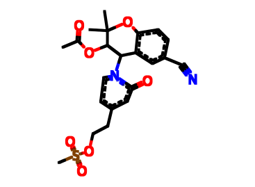 CC(=O)OC1C(n2ccc(CCOS(C)(=O)=O)cc2=O)c2cc(C#N)ccc2OC1(C)C